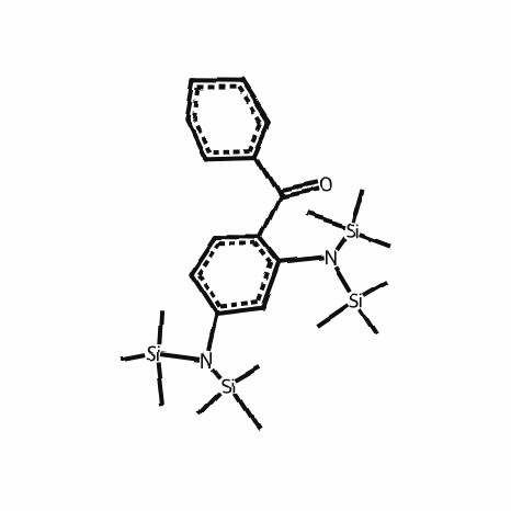 C[Si](C)(C)N(c1ccc(C(=O)c2ccccc2)c(N([Si](C)(C)C)[Si](C)(C)C)c1)[Si](C)(C)C